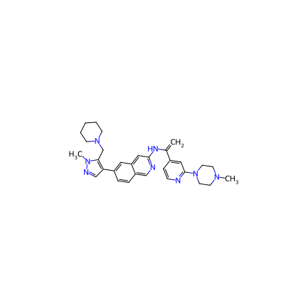 C=C(Nc1cc2cc(-c3cnn(C)c3CN3CCCCC3)ccc2cn1)c1ccnc(N2CCN(C)CC2)c1